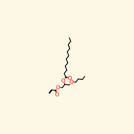 C=CC(=O)OCC(COCCCC)OC(=O)CCCCCCCCCCC